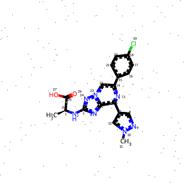 C[C@H](Nc1nc2c(-c3cnn(C)c3)nc(-c3ccc(Cl)cc3)cn2n1)C(=O)O